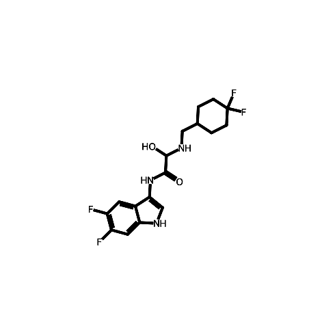 O=C(Nc1c[nH]c2cc(F)c(F)cc12)C(O)NCC1CCC(F)(F)CC1